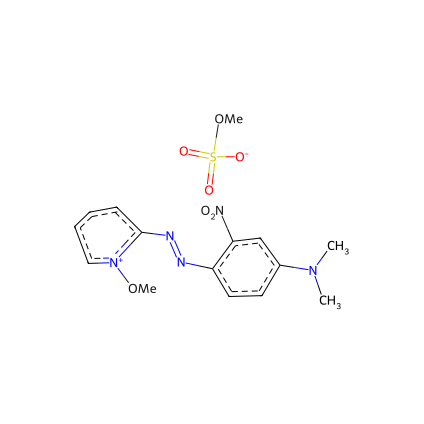 COS(=O)(=O)[O-].CO[n+]1ccccc1N=Nc1ccc(N(C)C)cc1[N+](=O)[O-]